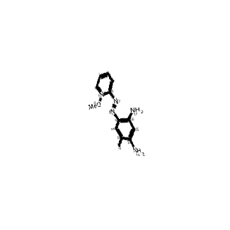 CO[n+]1ccccc1N=Nc1cc(C)c(N)cc1N